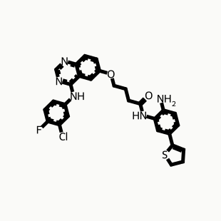 Nc1ccc(C2=CCCS2)cc1NC(=O)CCCOc1ccc2ncnc(Nc3ccc(F)c(Cl)c3)c2c1